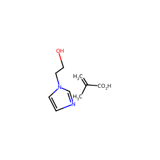 C=C(C)C(=O)O.OCCn1ccnc1